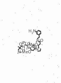 CC[C@H](C)[C@@H]([C@@H](CC(=O)N1CCC[C@H]1[C@H](OC)[C@@H](C)C(=O)N(C)CCc1cccc(N)c1)OC)N(C)C(=O)[C@@H](NC(=O)C(C)(C)CN(C)C)C(C)C